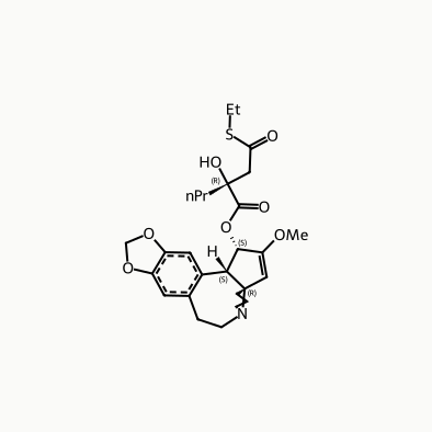 CCC[C@@](O)(CC(=O)SCC)C(=O)O[C@@H]1C(OC)=C[C@]23CCCN2CCc2cc4c(cc2[C@H]13)OCO4